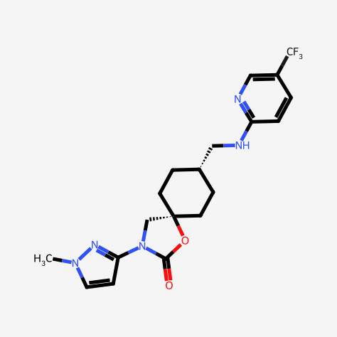 Cn1ccc(N2C[C@]3(CC[C@@H](CNc4ccc(C(F)(F)F)cn4)CC3)OC2=O)n1